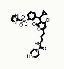 O=C(NCCCc1cc(O)c(C(c2cccc(NS(=O)(=O)c3ncc[nH]3)c2)C2CC2)c(=O)o1)N1CCNCC1